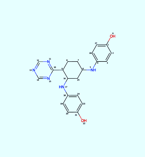 Oc1ccc(NC2CCC(c3ncncn3)C(Nc3ccc(O)cc3)C2)cc1